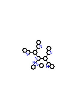 c1ccc(-n2c(-c3cc(-c4cc(-c5cnc6ccccc6c5)cc(-c5cnc6ccccc6c5)c4)cc(-c4cc(-c5cnc6ccccc6c5)cc(-c5cnc6ccccc6c5)c4)n3)nc3ccccc32)cc1